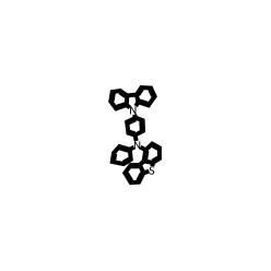 c1ccc(N(c2ccc(-n3c4ccccc4c4ccccc43)cc2)c2cccc3sc4ccccc4c23)cc1